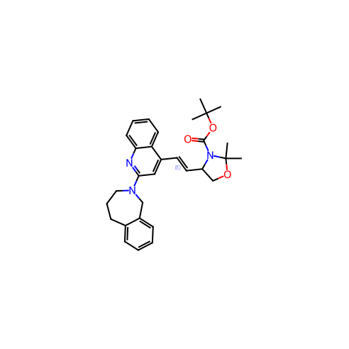 CC(C)(C)OC(=O)N1C(/C=C/c2cc(N3CCCc4ccccc4C3)nc3ccccc23)COC1(C)C